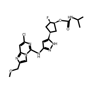 COCc1cn2c(Nc3cc([C@H]4C[C@@H](F)[C@@H](OC(=O)NC(C)C)C4)[nH]n3)nc(Cl)cc2n1